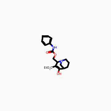 CCOC(=O)C1=C(O)C2CCCN(C2)C1COC(=O)Nc1ccccc1